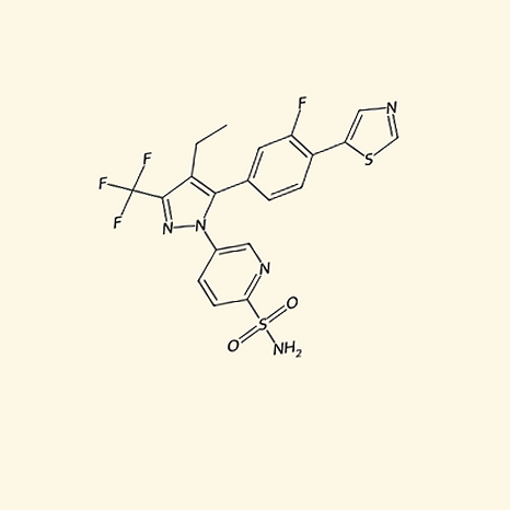 CCc1c(C(F)(F)F)nn(-c2ccc(S(N)(=O)=O)nc2)c1-c1ccc(-c2cncs2)c(F)c1